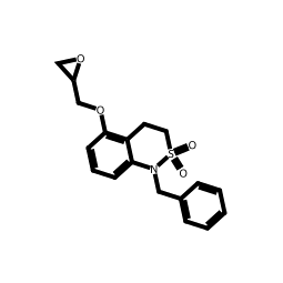 O=S1(=O)CCc2c(OCC3CO3)cccc2N1Cc1ccccc1